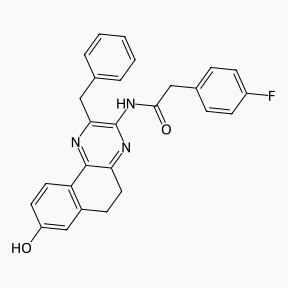 O=C(Cc1ccc(F)cc1)Nc1nc2c(nc1Cc1ccccc1)-c1ccc(O)cc1CC2